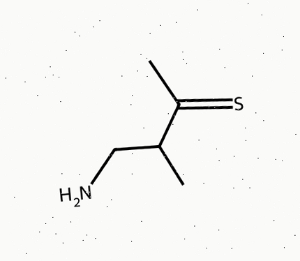 CC(=S)C(C)CN